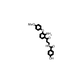 COc1ccc(Oc2cccc(C(=O)CCNC(=O)c3ccc(O)cc3)c2N)cc1